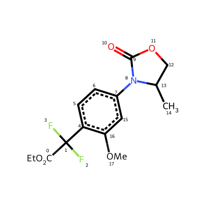 CCOC(=O)C(F)(F)c1ccc(N2C(=O)OCC2C)cc1OC